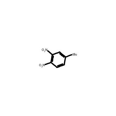 CC(C)(C)c1ccc([N+](=O)[O-])c([N+](=O)[O-])c1